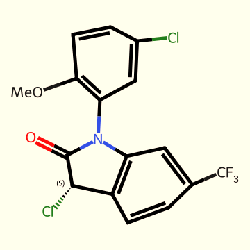 COc1ccc(Cl)cc1N1C(=O)[C@@H](Cl)c2ccc(C(F)(F)F)cc21